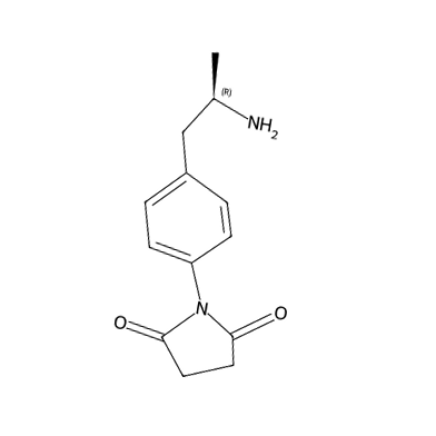 C[C@@H](N)Cc1ccc(N2C(=O)CCC2=O)cc1